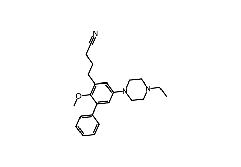 CCN1CCN(c2cc(CCCC#N)c(OC)c(-c3ccccc3)c2)CC1